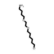 NCCCCOCCOCCCCCCCl